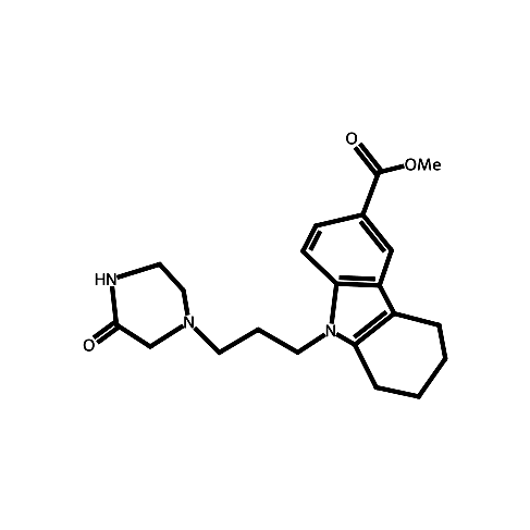 COC(=O)c1ccc2c(c1)c1c(n2CCCN2CCNC(=O)C2)CCCC1